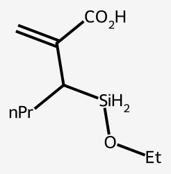 C=C(C(=O)O)C(CCC)[SiH2]OCC